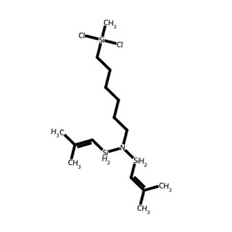 CC(C)=C[SiH2]N(CCCCCC[Si](C)(Cl)Cl)[SiH2]C=C(C)C